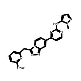 COc1cccc(Cc2nnc3cc(-c4ccnc(Nc5ccnn5C)n4)ccn23)n1